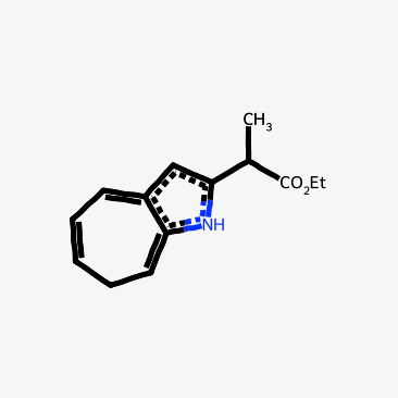 CCOC(=O)C(C)c1cc2c([nH]1)=CCC=CC=2